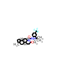 CC(C)(C)c1cc(C(F)(F)F)ccc1NC(=O)N1C(=O)C=C[C@]2(C)[C@H]3CC[C@]4(C)CCC[C@H]4[C@@H]3CC[C@@H]12